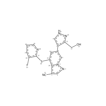 N#Cc1cnn2cc(-c3c[nH]nc3CO)cc(Sc3ncccc3F)c12